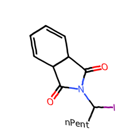 CCCCCC(I)N1C(=O)C2C=CC=CC2C1=O